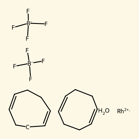 C1=CCCC=CCC1.C1=CCCC=CCC1.F[B-](F)(F)F.F[B-](F)(F)F.O.[Rh+2]